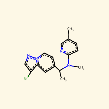 Cc1ccc(N(C)C(C)c2ccn3ncc(Br)c3c2)nc1